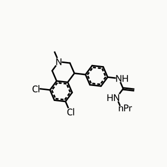 C=C(NCCC)Nc1ccc(C2CN(C)Cc3c(Cl)cc(Cl)cc32)cc1